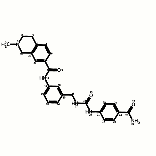 CN1CCc2ccc(C(=O)Nc3cccc(CNC(=O)Nc4ccc(C(N)=O)cc4)c3)cc2C1